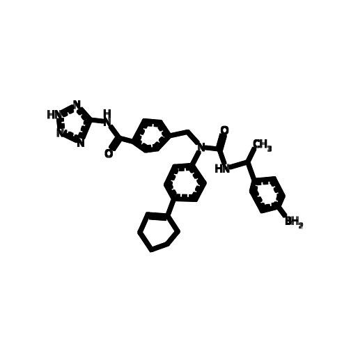 Bc1ccc(C(C)NC(=O)N(Cc2ccc(C(=O)Nc3nn[nH]n3)cc2)c2ccc(C3=CCCCC3)cc2)cc1